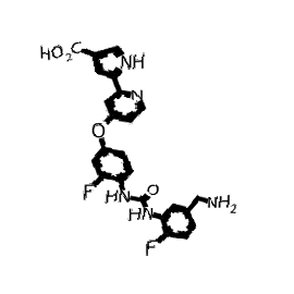 NCc1ccc(F)c(NC(=O)Nc2ccc(Oc3ccnc(-c4cc(C(=O)O)c[nH]4)c3)cc2F)c1